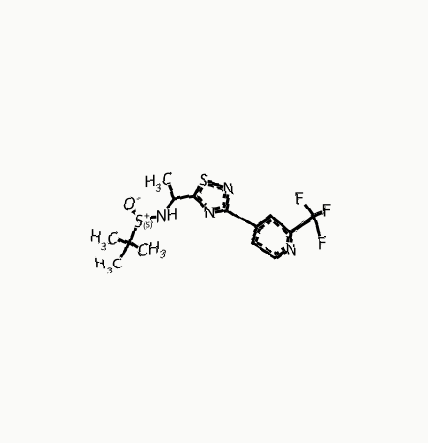 CC(N[S@+]([O-])C(C)(C)C)c1nc(-c2ccnc(C(F)(F)F)c2)ns1